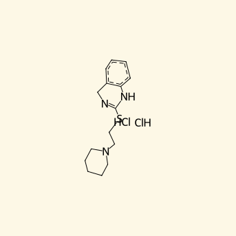 Cl.Cl.c1ccc2c(c1)CN=C(SCCN1CCCCC1)N2